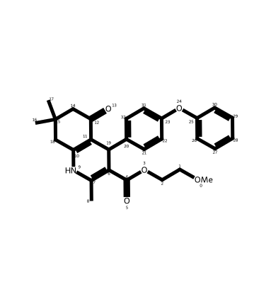 COCCOC(=O)C1=C(C)NC2=C(C(=O)CC(C)(C)C2)C1c1ccc(Oc2ccccc2)cc1